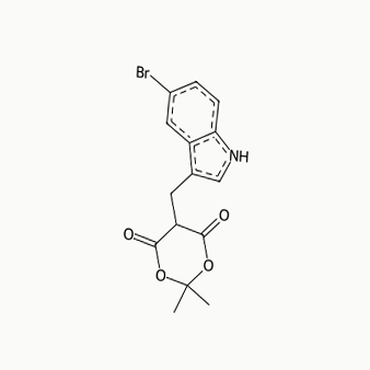 CC1(C)OC(=O)C(Cc2c[nH]c3ccc(Br)cc23)C(=O)O1